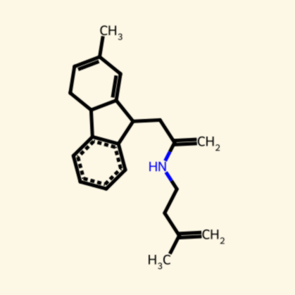 C=C(C)CCNC(=C)CC1C2=CC(C)=CCC2c2ccccc21